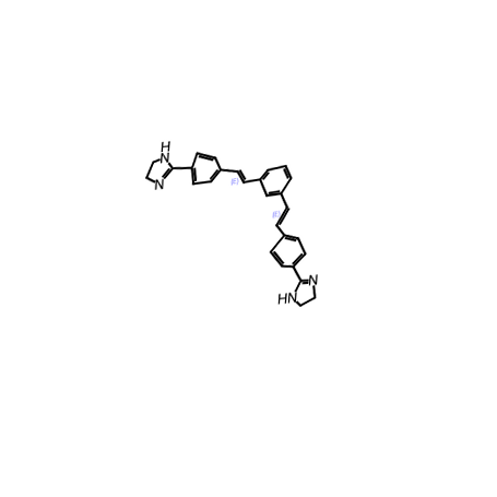 C(=C\c1cccc(/C=C/c2ccc(C3=NCCN3)cc2)c1)/c1ccc(C2=NCCN2)cc1